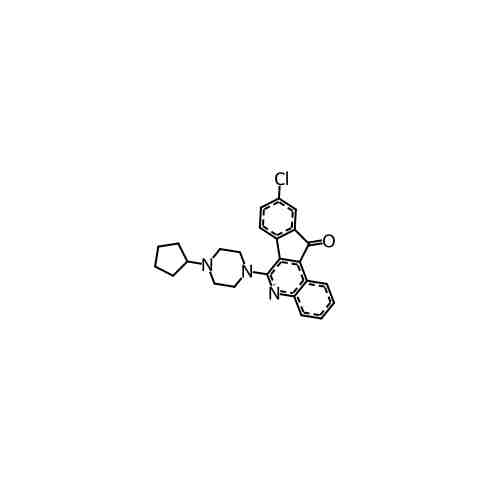 O=C1c2cc(Cl)ccc2-c2c(N3CCN(C4CCCC4)CC3)nc3ccccc3c21